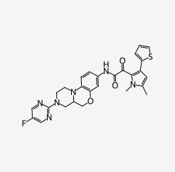 Cc1cc(-c2cccs2)c(C(=O)C(=O)Nc2ccc3c(c2)OCC2CN(c4ncc(F)cn4)CCN32)n1C